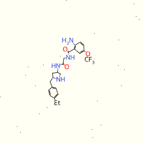 CCc1ccc(CC2CC(NC(=O)CNC(=O)c3cc(OC(F)(F)F)ccc3N)CN2)cc1